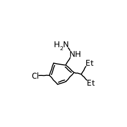 CCC(CC)c1ccc(Cl)cc1NN